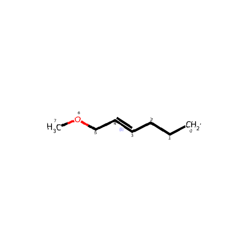 [CH2]CC/C=C/COC